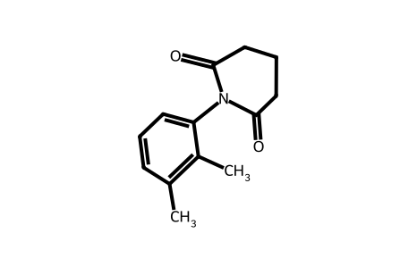 Cc1cccc(N2C(=O)CCCC2=O)c1C